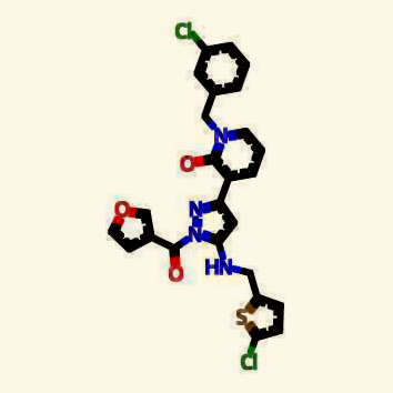 O=C(c1ccoc1)n1nc(-c2cccn(Cc3cccc(Cl)c3)c2=O)cc1NCc1ccc(Cl)s1